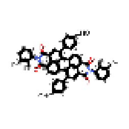 CC(C)c1cccc(N2C(=O)c3ccc4c5c(-c6ccc(C=O)cc6)cc6c7c(ccc(c8c(-c9ccc(C=O)cc9)cc(c3c48)C2=O)c75)C(=O)N(c2cccc(C(C)C)c2C(C)C)C6=O)c1C(C)C